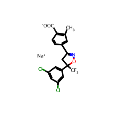 Cc1cc(C2=NOC(c3cc(Cl)cc(Cl)c3)(C(F)(F)F)C2)ccc1C(=O)[O-].[Na+]